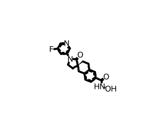 O=C(NO)c1ccc2c(c1)CC[C@]1(CCN(c3cncc(F)c3)C1=O)C2